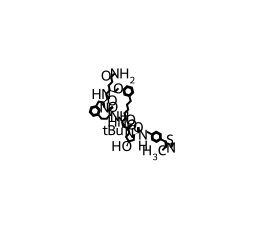 Cc1ncsc1-c1ccc(CNC(=O)[C@@H]2C[C@@H](O)CN2C(=O)[C@@H](NC(=O)CCCCc2cccc(OC[C@H](CCC(N)=O)NC(=O)[C@@H]3Cc4cccc5c4N3C(=O)[C@@H](N)CC5)c2)C(C)(C)C)cc1